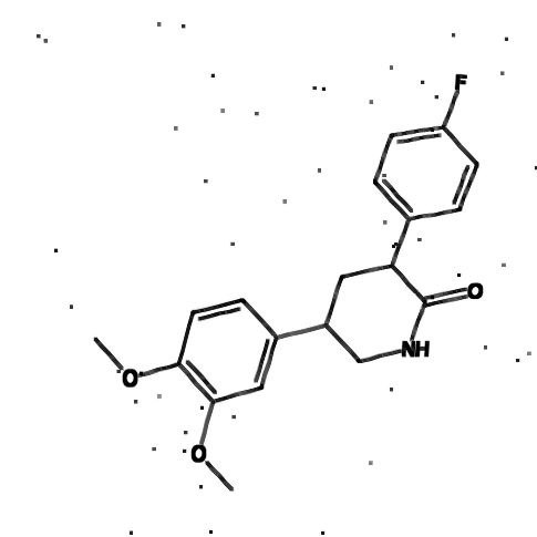 COc1ccc(C2CNC(=O)C(c3ccc(F)cc3)C2)cc1OC